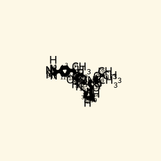 C[C@@H](c1ccc(-c2nnn[nH]2)cc1)N1C(=O)[C@@H]2C[C@H]1CN2C[C@H](NC(=O)OC(C)(C)C)C(=O)N1[C@H](C#N)C[C@@H]2C[C@@H]21